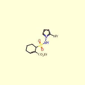 CCCc1cccn1NS(=O)(=O)C1CCCC=C1C(=O)OCC